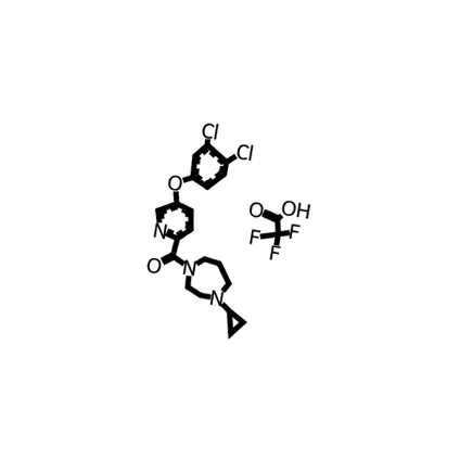 O=C(O)C(F)(F)F.O=C(c1ccc(Oc2ccc(Cl)c(Cl)c2)cn1)N1CCCN(C2CC2)CC1